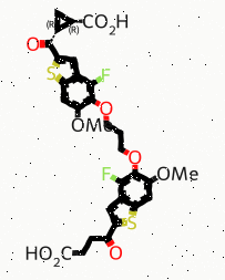 COc1cc2sc(C(=O)CCC(=O)O)cc2c(F)c1OCCCOc1c(OC)cc2sc(C(=O)[C@@H]3C[C@H]3C(=O)O)cc2c1F